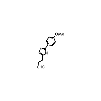 COc1ccc(-c2nc(CCC=O)cs2)cc1